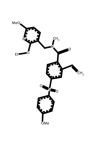 C=Cc1cc(S(=O)(=O)c2ccc(OC)cc2)ccc1C(=O)N(C)Cc1ccc(OC)nc1OCC